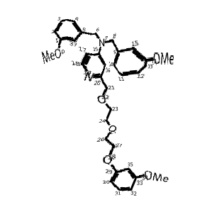 COc1cccc(CN(Cc2cccc(OC)c2)c2ccnc(COCCOCCOc3cccc(OC)c3)c2)c1